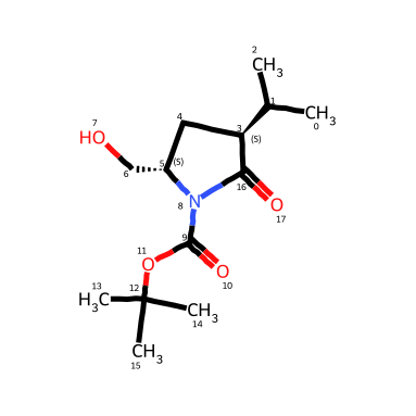 CC(C)[C@@H]1C[C@@H](CO)N(C(=O)OC(C)(C)C)C1=O